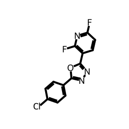 Fc1ccc(-c2nnc(-c3ccc(Cl)cc3)o2)c(F)n1